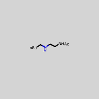 CCCCCNCCNC(C)=O